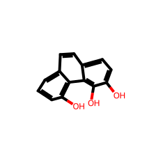 Oc1ccc2ccc3cccc(O)c3c2c1O